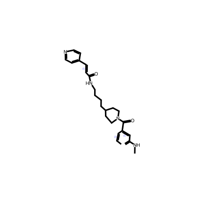 C=C(/C=C(\C=C/C)C(=O)N1CCC(CCCCNC(=O)/C=C/c2ccncc2)CC1)NC